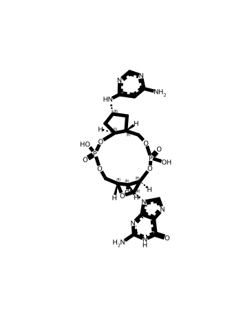 Nc1cc(N[C@@H]2C[C@@H]3COP(=O)(O)O[C@@H]4[C@H](O)[C@@H](COP(=O)(O)O[C@H]3C2)O[C@H]4n2cnc3c(=O)[nH]c(N)nc32)ncn1